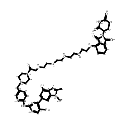 Cc1nc2c(F)cc(-c3nc(Nc4ccc(CN5CCN(C(=O)COCCOCCOCCOCCSc6cccc7c6C(=O)N(C6CCC(=O)NC6=O)C7=O)CC5)cn4)ncc3F)cc2n1C(C)C